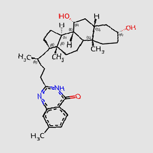 Cc1ccc2c(=O)[nH]c(CC[C@@H](C)[C@H]3CC[C@H]4[C@H]5C(CC[C@]34C)[C@@]3(C)CC[C@@H](O)C[C@H]3C[C@H]5O)nc2c1